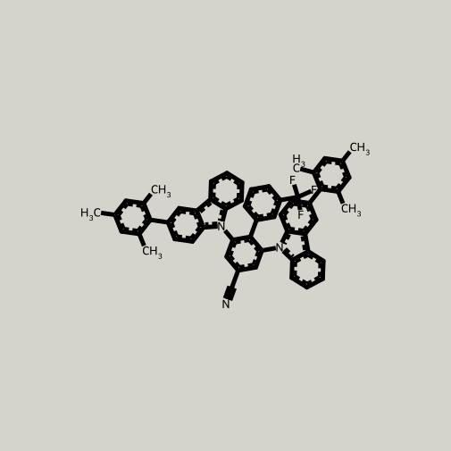 Cc1cc(C)c(-c2ccc3c(c2)c2ccccc2n3-c2cc(C#N)cc(-n3c4ccccc4c4cc(-c5c(C)cc(C)cc5C)ccc43)c2-c2cccc(C(F)(F)F)c2)c(C)c1